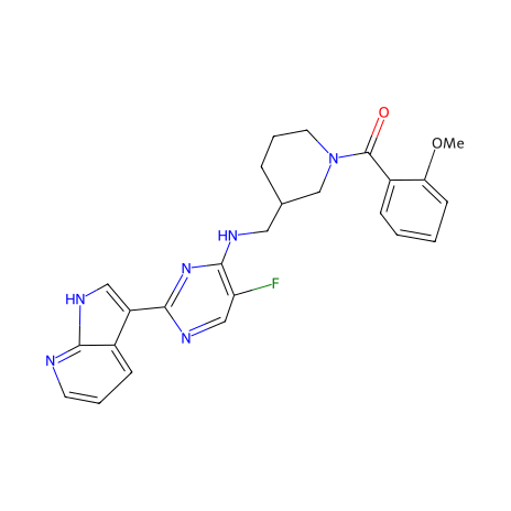 COc1ccccc1C(=O)N1CCCC(CNc2nc(-c3c[nH]c4ncccc34)ncc2F)C1